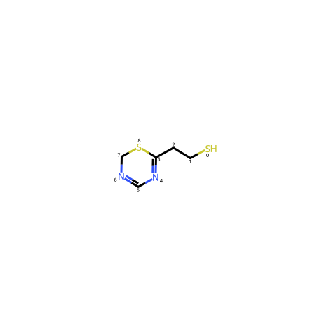 SCCC1=NC=NCS1